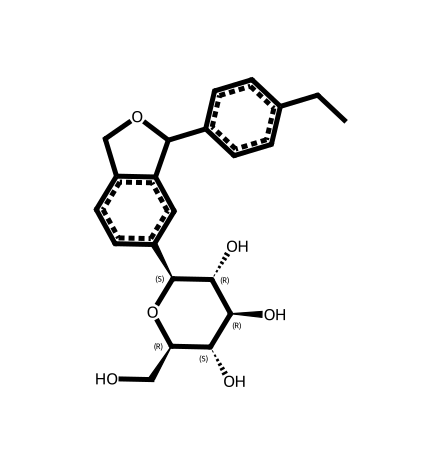 CCc1ccc(C2OCc3ccc([C@@H]4O[C@H](CO)[C@@H](O)[C@H](O)[C@H]4O)cc32)cc1